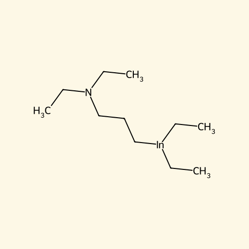 CCN(CC)CC[CH2][In]([CH2]C)[CH2]C